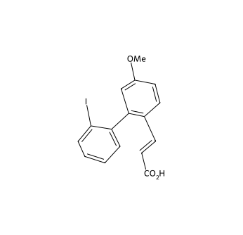 COc1ccc(C=CC(=O)O)c(-c2ccccc2I)c1